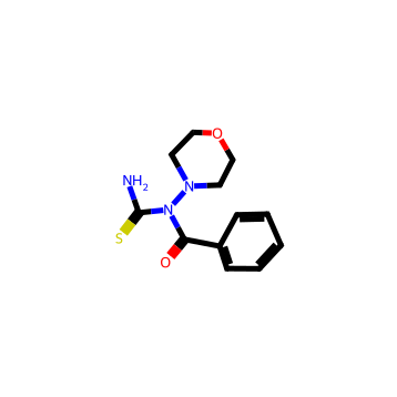 NC(=S)N(C(=O)c1ccccc1)N1CCOCC1